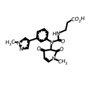 CN1C=CC(=O)C(N(C(=O)NCCC(=O)O)c2cccc(-c3cnn(C)c3)c2)C1=O